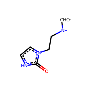 O=[C]NCCn1cc[nH]c1=O